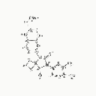 COC[C@@H]1COc2cc(N3C(=S)N(c4ccc(C#N)c(C(F)(F)F)c4)C(=O)C34CCC4)ccc2O1